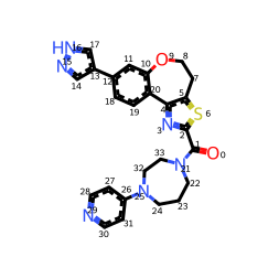 O=C(c1nc2c(s1)CCOc1cc(-c3cn[nH]c3)ccc1-2)N1CCCN(c2ccncc2)CC1